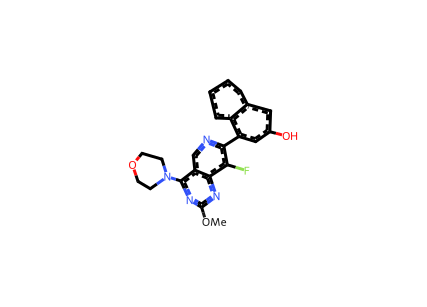 COc1nc(N2CCOCC2)c2cnc(-c3cc(O)cc4ccccc34)c(F)c2n1